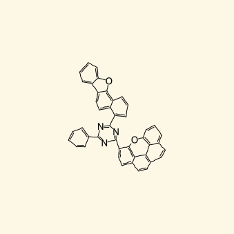 c1ccc(-c2nc(-c3ccc4ccc5ccc6cccc7c6c5c4c3O7)nc(-c3cccc4c3ccc3c5ccccc5oc43)n2)cc1